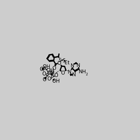 CCSSC(C)c1ccccc1C(=O)OC1C[C@H](n2cnc3c(N)ncnc32)O[C@@H]1COP(=O)(O)OP(=O)(O)OP(=O)(O)O